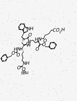 CC(C)(C)OC(=O)NCCCC[C@H](NC(=O)OCc1ccccc1)C(=O)C[C@H](Cc1c[nH]c2ccccc12)C(=O)NCC[C@@H](NC(=O)CCCC(=O)O)C(=O)OCc1ccccc1